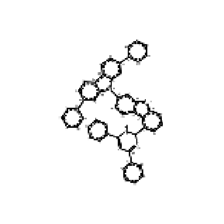 C1=C(c2ccccc2)NC(c2cccc3oc4cc(-n5c6cc(-c7ccccc7)ccc6c6ccc(-c7ccccc7)cc65)ccc4c23)N=C1c1ccccc1